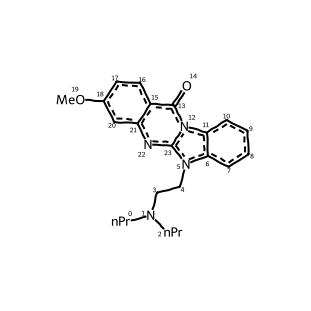 CCCN(CCC)CCn1c2ccccc2n2c(=O)c3ccc(OC)cc3nc12